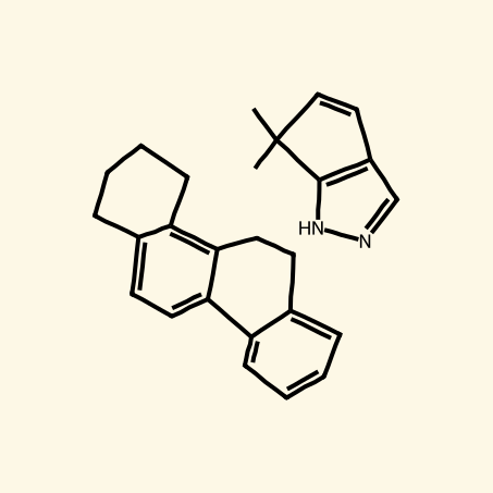 CC1(C)C=Cc2cn[nH]c21.c1ccc2c(c1)CCc1c-2ccc2c1CCCC2